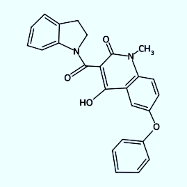 Cn1c(=O)c(C(=O)N2CCc3ccccc32)c(O)c2cc(Oc3ccccc3)ccc21